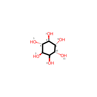 O[C]1[C@@H](O)[C@H](O)[C@@H](O)[C@H](O)[C@@H]1O